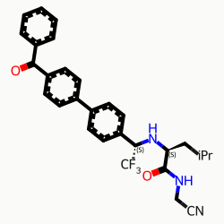 CC(C)C[C@H](N[C@@H](c1ccc(-c2ccc(C(=O)c3ccccc3)cc2)cc1)C(F)(F)F)C(=O)NCC#N